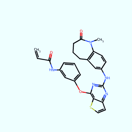 C=CC(=O)Nc1cccc(Oc2nc(Nc3ccc4c(c3)CCCC(=O)N4C)nc3ccsc23)c1